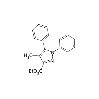 CCOC(=O)c1nn(-c2ccccc2)c(-c2ccccc2)c1C